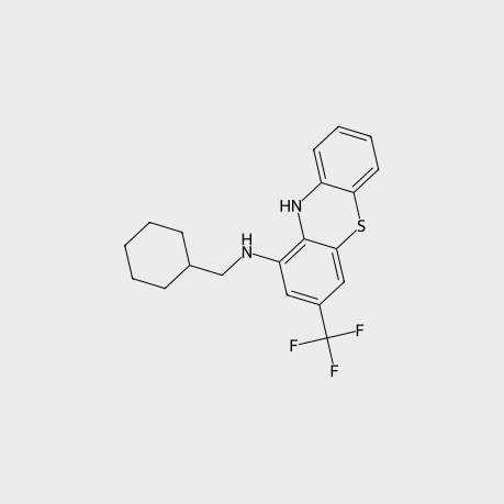 FC(F)(F)c1cc(NCC2CCCCC2)c2c(c1)Sc1ccccc1N2